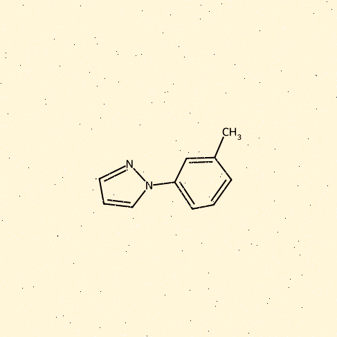 Cc1cccc(-n2cc[c]n2)c1